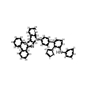 C1=CCC(c2c(Nc3ccccc3)cccc2-c2ccc(-n3c4ccccc4c4c3nc3c5ccccc5c5ccccc5n34)cc2)=C1